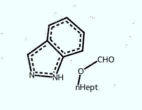 CCCCCCCOC=O.c1ccc2[nH]ncc2c1